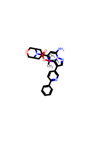 CC(C)(C)OC(=O)N1C2COCC1CC(c1cc(N)n3ncc(-c4ccc(-c5ccccc5)nc4)c3n1)C2